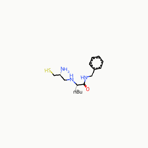 CCCC[C@H](NC[C@@H](N)CS)C(=O)NCc1ccccc1